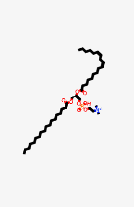 CCCCC/C=C\C/C=C\CCCCCCCC(=O)O[C@H](COC(=O)CCCCCCCCCCCCCCCCC)COP(=O)(O)OCC[N+](C)(C)C